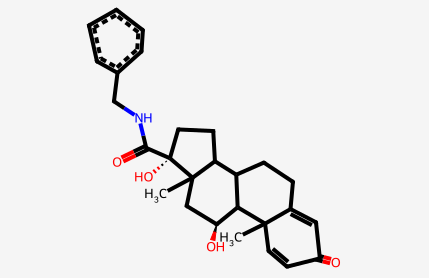 CC12C=CC(=O)C=C1CCC1C2[C@@H](O)CC2(C)C1CC[C@]2(O)C(=O)NCc1ccccc1